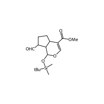 COC(=O)C1=COC(O[Si](C)(C)C(C)(C)C)C2C(C=O)CCC12